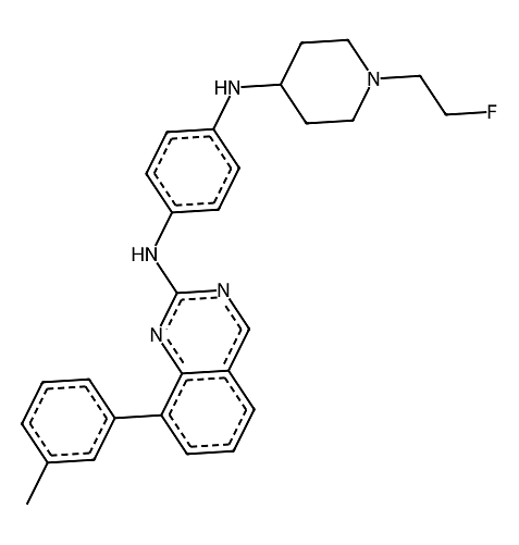 Cc1cccc(-c2cccc3cnc(Nc4ccc(NC5CCN(CCF)CC5)cc4)nc23)c1